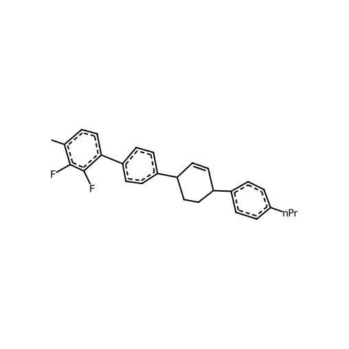 CCCc1ccc(C2C=CC(c3ccc(-c4ccc(C)c(F)c4F)cc3)CC2)cc1